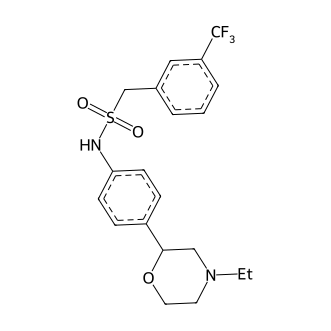 CCN1CCOC(c2ccc(NS(=O)(=O)Cc3cccc(C(F)(F)F)c3)cc2)C1